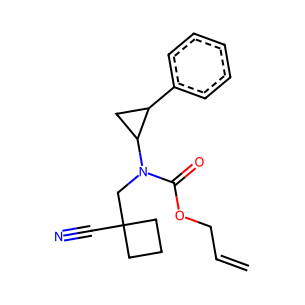 C=CCOC(=O)N(CC1(C#N)CCC1)C1CC1c1ccccc1